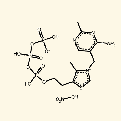 Cc1ncc(C[n+]2csc(CCOP(=O)(O)OP(=O)(O)OP(=O)([O-])O)c2C)c(N)n1.O=[N+]([O-])O